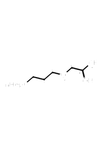 CCCCCCCCCCOCC(O)C(F)(F)F